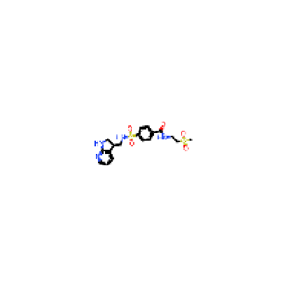 CS(=O)(=O)CCNC(=O)c1ccc(S(=O)(=O)NCC2CNc3ncccc32)cc1